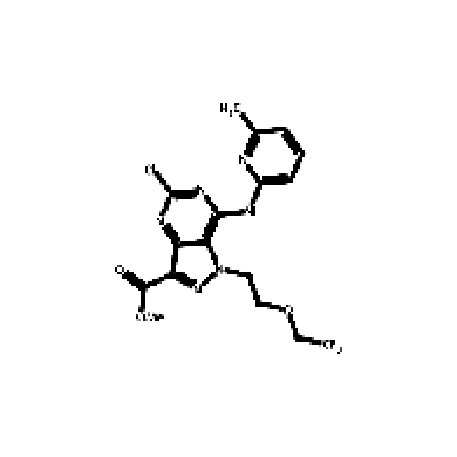 COC(=O)c1nn(CCOCC(F)(F)F)c2c(Nc3cccc(C)n3)nc(Cl)nc12